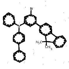 CC1(C)c2ccccc2-c2ccc(-c3cc(Br)cc(N(c4ccccc4)c4ccc(-c5ccccc5)cc4)c3)cc21